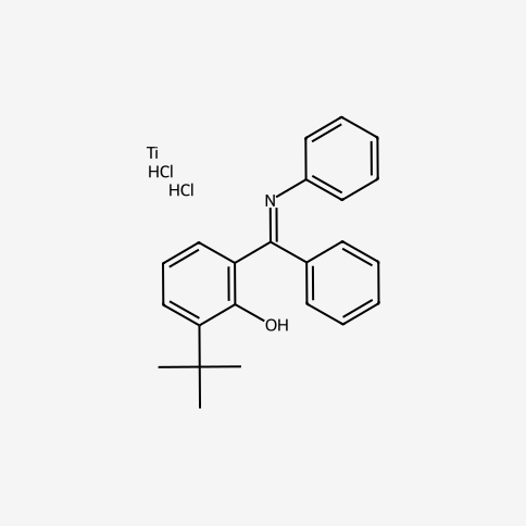 CC(C)(C)c1cccc(C(=Nc2ccccc2)c2ccccc2)c1O.Cl.Cl.[Ti]